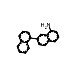 Nc1cccc2ccc(-c3cccc4ccccc34)cc12